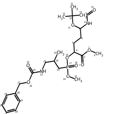 COC(=O)C(CCC(NC=O)OC(C)(C)C)OP(=O)(CC(C)CNC(=O)OCc1ccccc1)OC